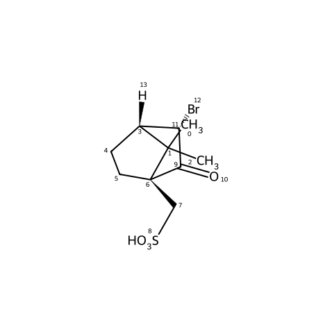 CC1(C)[C@@H]2CC[C@@]1(CS(=O)(=O)O)C(=O)[C@H]2Br